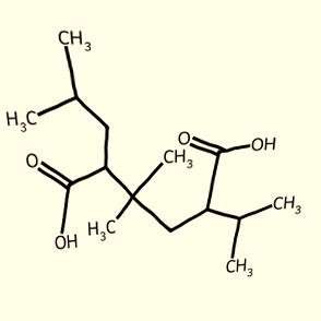 CC(C)CC(C(=O)O)C(C)(C)CC(C(=O)O)C(C)C